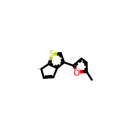 Cc1ccc(-c2csc3c2C=C[CH]3)o1